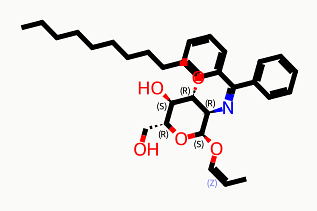 C/C=C\O[C@H]1O[C@H](CO)[C@@H](O)[C@H](OCCCCCCCCCC)[C@H]1N=C(c1ccccc1)c1ccccc1